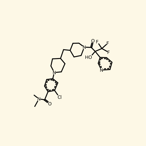 CN(C)C(=O)c1ccc(N2CCC(CC3CCN(C(=O)C(O)(c4cccnc4)C(F)(F)F)CC3)CC2)cc1Cl